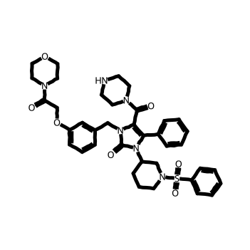 O=C(COc1cccc(Cn2c(C(=O)N3CCNCC3)c(-c3ccccc3)n(C3CCCN(S(=O)(=O)c4ccccc4)C3)c2=O)c1)N1CCOCC1